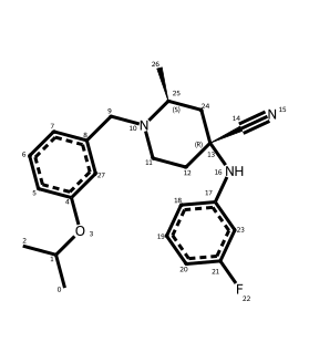 CC(C)Oc1cccc(CN2CC[C@@](C#N)(Nc3cccc(F)c3)C[C@@H]2C)c1